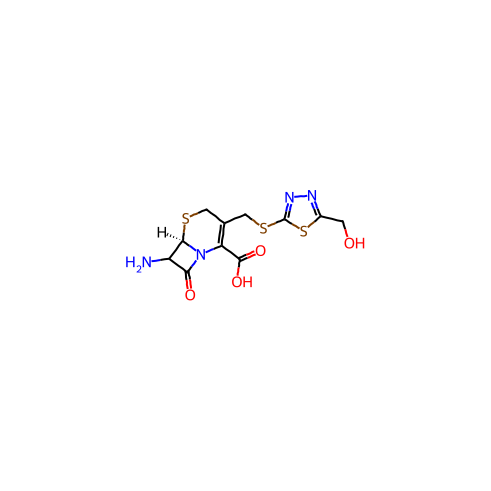 NC1C(=O)N2C(C(=O)O)=C(CSc3nnc(CO)s3)CS[C@H]12